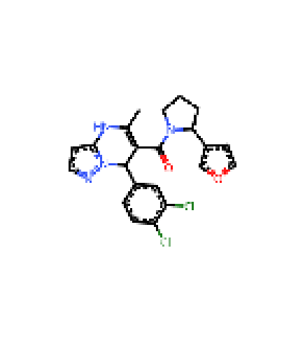 CC1=C(C(=O)N2CCCC2c2ccoc2)C(c2ccc(Cl)c(Cl)c2)n2nccc2N1